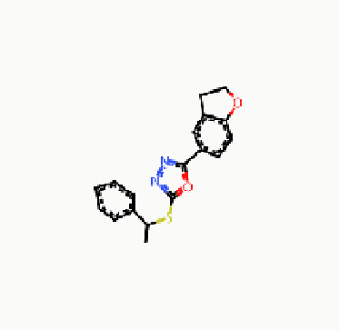 CC(Sc1nnc(-c2ccc3c(c2)CCO3)o1)c1ccccc1